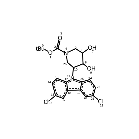 CC(C)(C)OC(=O)N1CC(O)C(O)C(n2c3ccc(Cl)cc3c3cc(Cl)ccc32)C1